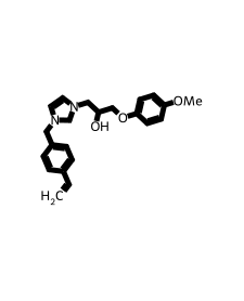 C=Cc1ccc(CN2C=CN(CC(O)COc3ccc(OC)cc3)C2)cc1